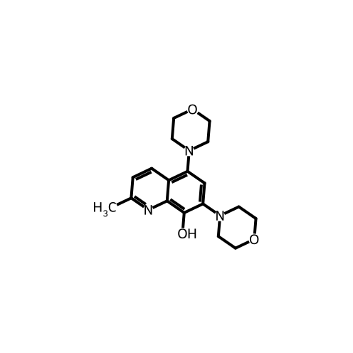 Cc1ccc2c(N3CCOCC3)cc(N3CCOCC3)c(O)c2n1